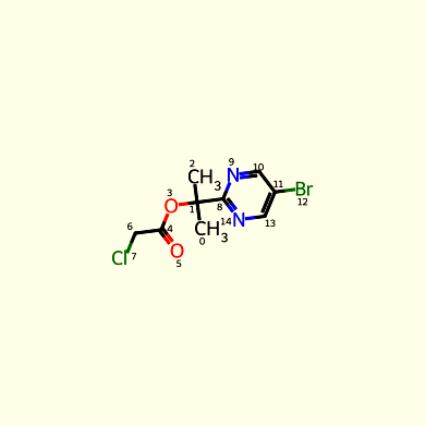 CC(C)(OC(=O)CCl)c1ncc(Br)cn1